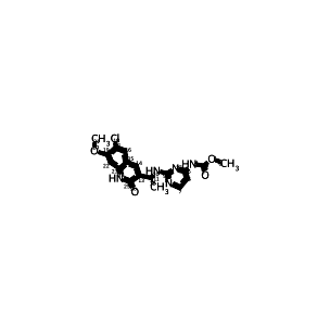 COC(=O)Nc1ccnc(N[C@@H](C)c2cc3cc(Cl)c(OC)cc3[nH]c2=O)n1